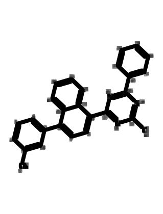 N#Cc1cccc(-c2ccc(-c3nc(Cl)nc(-c4ccccc4)n3)c3ccccc23)c1